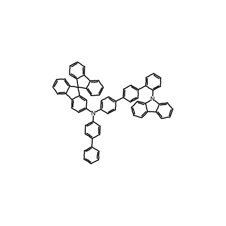 c1ccc(-c2ccc(N(c3ccc(-c4ccc(-c5ccccc5-n5c6ccccc6c6ccccc65)cc4)cc3)c3ccc4c(c3)C3(c5ccccc5-c5ccccc53)c3ccccc3-4)cc2)cc1